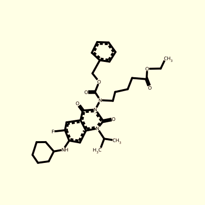 CCOC(=O)CCCCN(C(=O)OCc1ccccc1)n1c(=O)c2cc(F)c(NC3CCCCC3)cc2n(C(C)C)c1=O